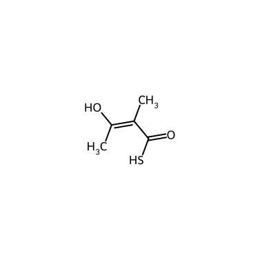 CC(O)=C(C)C(=O)S